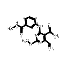 C=Cc1nc(SC)nc(Nc2cccc(C(=O)NC)c2)c1C(N)=O